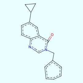 O=c1c2cc(C3CC3)ccc2ncn1Cc1ccccc1